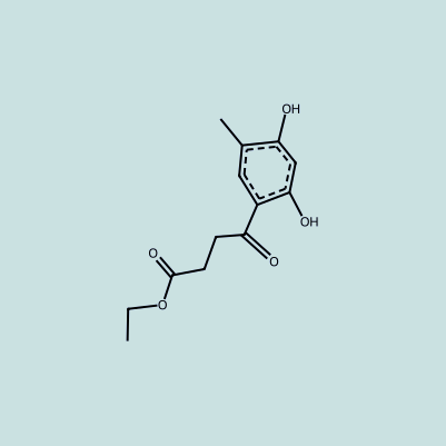 CCOC(=O)CCC(=O)c1cc(C)c(O)cc1O